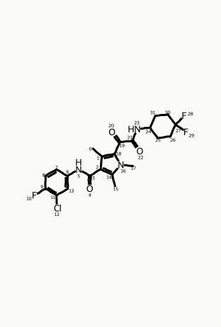 Cc1c(C(=O)Nc2ccc(F)c(Cl)c2)c(C)n(C)c1C(=O)C(=O)NC1CCC(F)(F)CC1